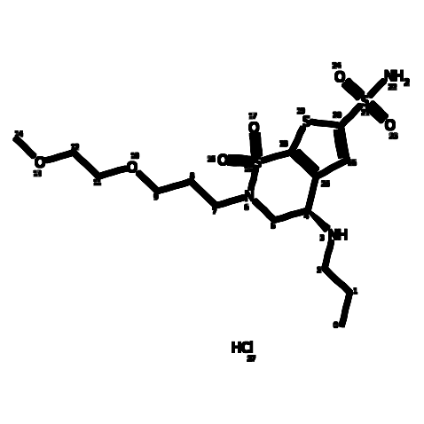 CCCN[C@H]1CN(CCCOCCOC)S(=O)(=O)c2sc(S(N)(=O)=O)cc21.Cl